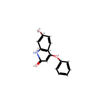 O=c1cc(Oc2ccccc2)c2ccc(Br)cc2[nH]1